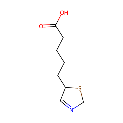 O=C(O)CCCCC1C=NCS1